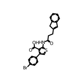 O=C(CCC1=Cc2ccccc2C1)Nc1scc(-c2ccc(Br)cc2)c1C(=O)O